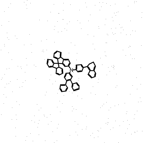 C1=CC2c3ccccc3C3(c4ccccc4-c4ccc(N(c5ccc(C6=c7ccccc7=CCC6)cc5)c5ccc(-c6ccccc6)c(-c6ccccc6)c5)cc43)C2C=C1